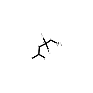 CC(C)CC(F)(F)CN